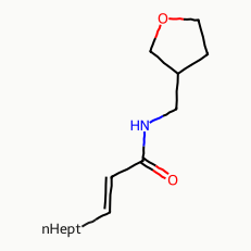 CCCCCCCC=CC(=O)NCC1CCOC1